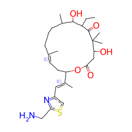 CCC1C(=O)C(C)(C)C(O)CC(=O)OC(/C(C)=C/c2csc(CN)n2)C/C=C(\C)CCCC(C)C1O